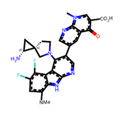 CNc1cc(F)c(F)c2c1[nH]c1ncc(-c3cnc4c(c3)c(=O)c(C(=O)O)cn4C)c(N3CC[C@]4(C[C@H]4N)C3)c12